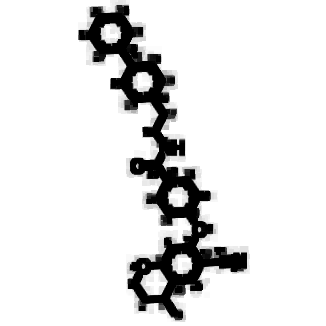 CC1CCOc2cc(Oc3ccc(C(=O)NCCc4ccc(-c5ccccc5)cc4)cc3)c(C#N)cc21